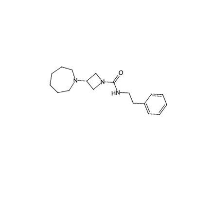 O=C(NCCc1ccccc1)N1CC(N2CCCCCC2)C1